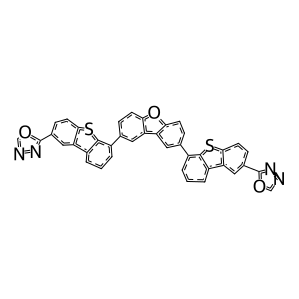 c1cc(-c2ccc3oc4ccc(-c5cccc6c5sc5ccc(-c7nnco7)cc56)cc4c3c2)c2sc3ccc(-c4nnco4)cc3c2c1